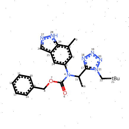 Cc1cc(N(C(=O)OCc2ccccc2)C(C)c2nnnn2CC(C)(C)C)cc2cn[nH]c12